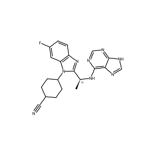 C[C@H](Nc1ncnc2[nH]cnc12)c1nc2ccc(F)cc2n1C1CCC(C#N)CC1